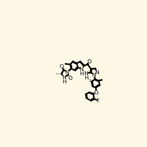 Cc1cc2cc(C(=O)c3cnn(-c4ccc(Oc5ccccc5F)cc4C)c3N)[nH]c2cc1N1C(=O)N[C@H](C)C1=O